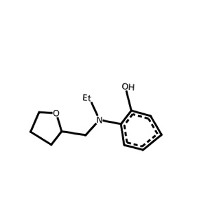 CCN(CC1CCCO1)c1ccccc1O